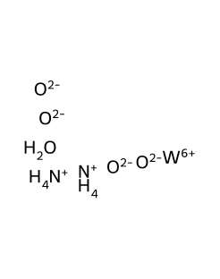 O.[NH4+].[NH4+].[O-2].[O-2].[O-2].[O-2].[W+6]